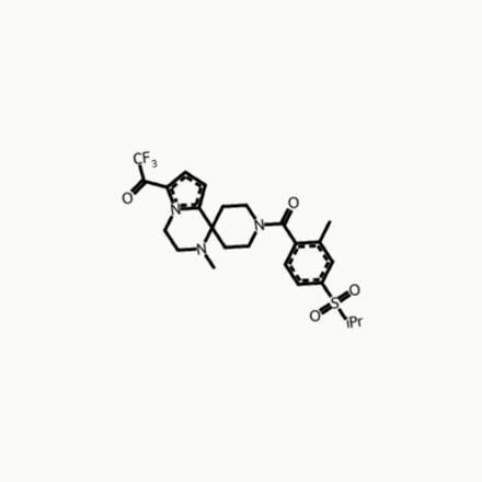 Cc1cc(S(=O)(=O)C(C)C)ccc1C(=O)N1CCC2(CC1)c1ccc(C(=O)C(F)(F)F)n1CCN2C